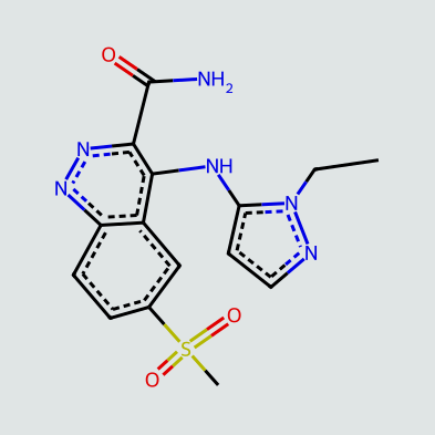 CCn1nccc1Nc1c(C(N)=O)nnc2ccc(S(C)(=O)=O)cc12